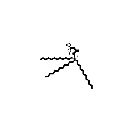 C=C(CC(=O)OC)C(=O)O[Si](CCCCCCCCCCCC)(CCCCCCCCCCCC)CCCCCCCCCCCC